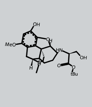 COc1cc(O)c2c3c1C[C@@H]1[C@@H]4CC[C@@H](N[C@@H](CO)C(=O)OC(C)(C)C)[C@H](O2)[C@]34CCN1C